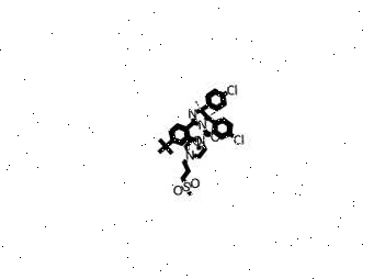 COc1cc(C(C)(C)C)ccc1C1=N[C@@](C)(c2ccc(Cl)cc2)[C@@](C)(c2ccc(Cl)cc2)N1C(=O)N1CCN(CCCS(C)(=O)=O)CC1